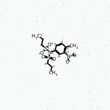 CCCS(=O)(=O)N(c1ccc(C)c([N+](=O)[O-])c1)S(=O)(=O)CCC